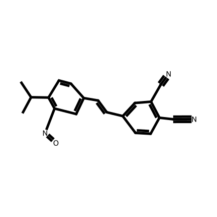 CC(C)c1ccc(/C=C/c2ccc(C#N)c(C#N)c2)cc1N=O